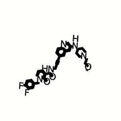 COCCN1CCC(Nc2cnc3ccc(C#CCNC(=O)c4cccn(Cc5ccc(F)c(F)c5)c4=O)cc3c2)CC1